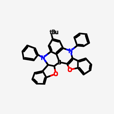 CC(C)(C)c1cc2c3c(c1)N(c1ccccc1)C1c4ccccc4OC1B3c1oc3ccccc3c1N2c1ccccc1